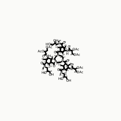 CC(=O)OCC(OC(C)=O)C(=O)NC1=C(I)C(C(=O)N(C)CC(O)CO)C(I)C(C(=O)N2CCN(C(=O)c3c(I)c(NC(=O)C(COC(C)=O)OC(C)=O)c(I)c(C(=O)N(C)CC(O)CO)c3I)CCN(C(=O)C3C(I)=C(C(=O)N(C)CC(O)CO)C(I)=C(NC(=O)C(COC(C)=O)OC(C)=O)C3I)CC2)=C1I